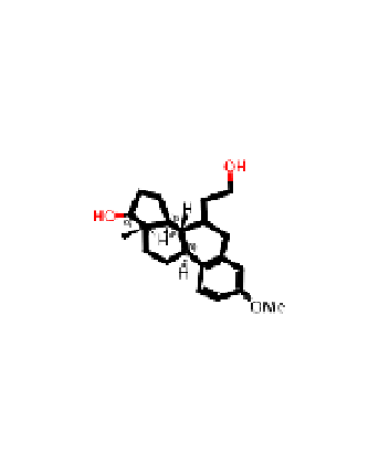 COc1ccc2c(c1)CC(CCO)[C@@H]1[C@@H]2CC[C@]2(C)[C@@H](O)CC[C@@H]12